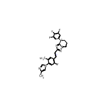 Cc1cn(-c2cc(F)c(/C=C/c3nc4n(n3)CCC[C@@H]4c3cc(F)c(F)c(F)c3)cc2C)cn1